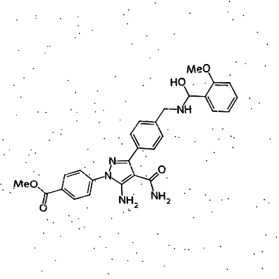 COC(=O)c1ccc(-n2nc(-c3ccc(CNC(O)c4ccccc4OC)cc3)c(C(N)=O)c2N)cc1